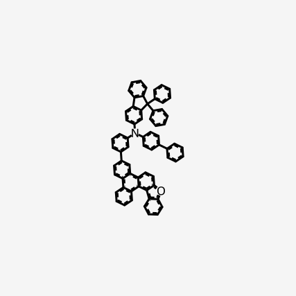 c1ccc(-c2ccc(N(c3cccc(-c4ccc5c6ccccc6c6c(ccc7oc8ccccc8c76)c5c4)c3)c3ccc4c(c3)C(c3ccccc3)(c3ccccc3)c3ccccc3-4)cc2)cc1